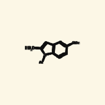 CC(=O)Oc1ccc2c(c1)cc(C(=O)O)n2C(C)=O